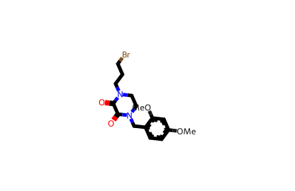 COc1ccc(CN2CCN(CCCBr)C(=O)C2=O)c(OC)c1